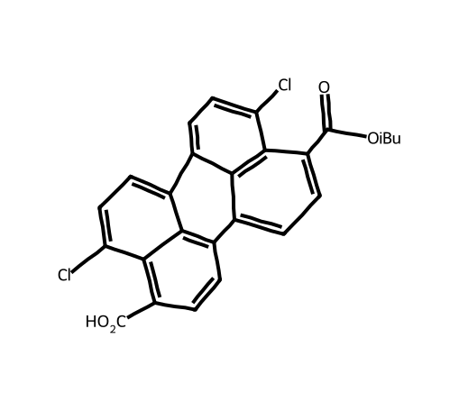 CC(C)COC(=O)c1ccc2c3ccc(C(=O)O)c4c(Cl)ccc(c5ccc(Cl)c1c52)c43